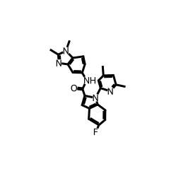 Cc1cc(C)nc(-n2c(C(=O)Nc3ccc4c(c3)nc(C)n4C)cc3cc(F)ccc32)c1